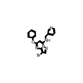 Brc1cnn2c(NCc3cccnc3)cc(Oc3ccccc3)nc12